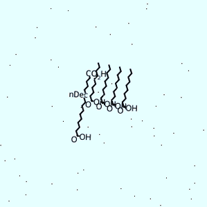 CCCCCCCCCC(=O)O.CCCCCCCCCC(=O)O.CCCCCCCCCC(=O)O.CCCCCCCCCC(=O)O.CCCCCCCCCC(=O)O.CCCCCCCCCCCCCCC(=O)O